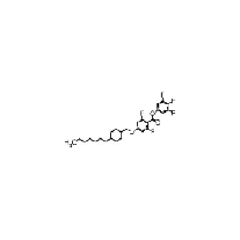 CCCCCCCC1CCC(COc2cc(F)c(C(=O)Oc3cc(F)c(F)c(F)c3)c(F)c2)CC1